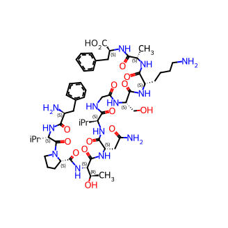 CC(C)[C@H](NC(=O)[C@H](CC(N)=O)NC(=O)[C@@H](NC(=O)[C@@H]1CCCN1C(=O)[C@@H](NC(=O)[C@@H](N)Cc1ccccc1)C(C)C)[C@@H](C)O)C(=O)NCC(=O)N[C@@H](CO)C(=O)N[C@@H](CCCCN)C(=O)N[C@@H](C)C(=O)N[C@@H](Cc1ccccc1)C(=O)O